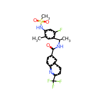 Cc1cc([C@@H](C)NC(=O)c2ccc3nc(C(F)(F)F)ccc3c2)c(F)cc1NS(C)(=O)=O